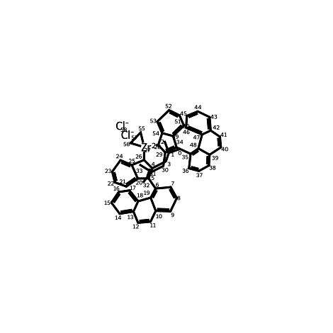 CC(C)CC1=C(c2cccc3ccc4ccccc4c23)c2ccccc2[CH]1[Zr+2]1([CH]2C(CC(C)C)=C(c3cccc4ccc5ccccc5c34)c3ccccc32)[CH2][CH2]1.[Cl-].[Cl-]